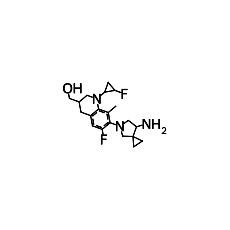 Cc1c(N2CC(N)C3(CC3)C2)c(F)cc2c1N(C1CC1F)CC(CO)C2